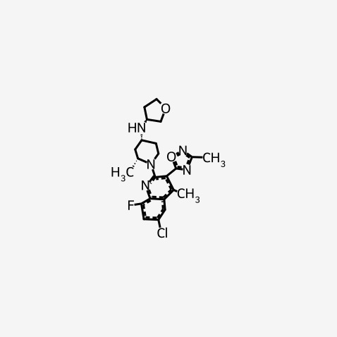 Cc1noc(-c2c(N3CC[C@@H](N[C@H]4CCOC4)C[C@H]3C)nc3c(F)cc(Cl)cc3c2C)n1